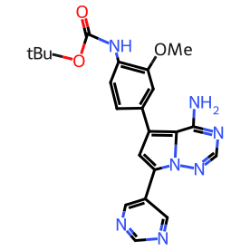 COc1cc(-c2cc(-c3cncnc3)n3ncnc(N)c23)ccc1NC(=O)OC(C)(C)C